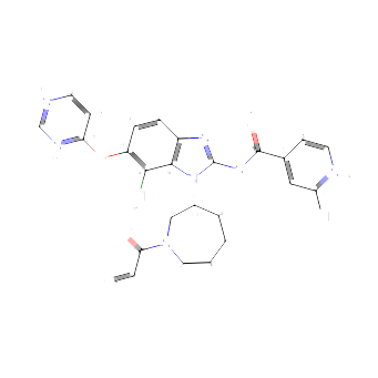 C=CC(=O)N1CCCC[C@@H](n2c(NC(=O)c3ccnc(C)c3)nc3ccc(Oc4ccncn4)c(Cl)c32)C1